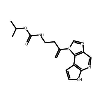 C=C(CCNC(=O)OC(C)C)n1cnc2cnc3[nH]ccc3c21